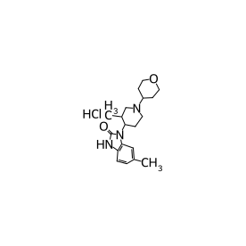 Cc1ccc2[nH]c(=O)n(C3CCN(C4CCOCC4)CC3C)c2c1.Cl